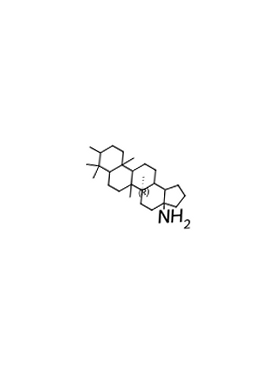 CC1CCC2(C)C(CCC3(C)C2CCC2C4CCCC4(N)CC[C@]23C)C1(C)C